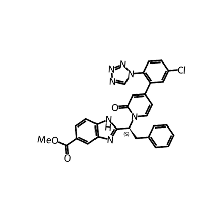 COC(=O)c1ccc2[nH]c([C@H](Cc3ccccc3)n3ccc(-c4cc(Cl)ccc4-n4cnnn4)cc3=O)nc2c1